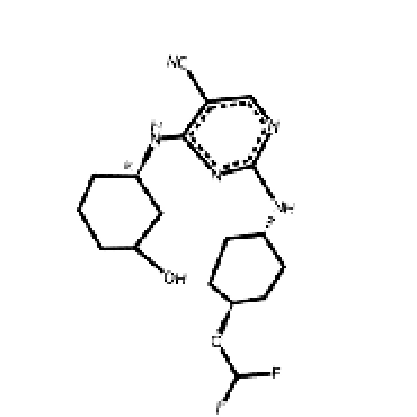 N#Cc1cnc(N[C@H]2CC[C@H](OC(F)F)CC2)nc1N[C@@H]1CCCC(O)C1